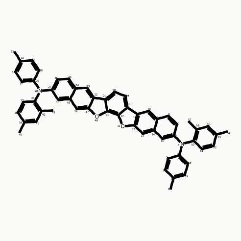 Cc1ccc(N(c2ccc3cc4c(cc3c2)oc2c4ccc3c4cc5ccc(N(c6ccc(C)cc6)c6ccc(C)cc6C)cc5cc4oc32)c2ccc(C)cc2C)cc1